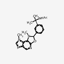 CC(=O)NC(C)(C)c1cccc(C2Oc3ncc4ncn(C)c4c3N2C)c1